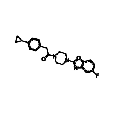 O=C(Cc1ccc(C2CC2)cc1)N1CCN(c2nc3cc(F)ccc3o2)CC1